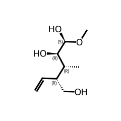 C=C[C@@H](CO)[C@@H](C)[C@@H](O)[C@@H](O)OC